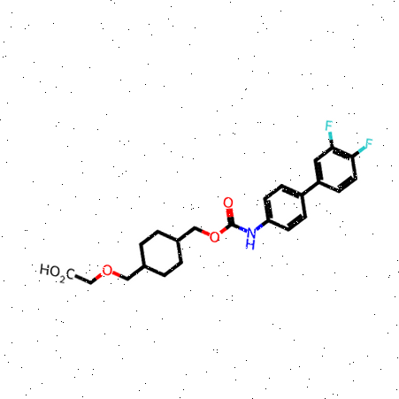 O=C(O)COCC1CCC(COC(=O)Nc2ccc(-c3ccc(F)c(F)c3)cc2)CC1